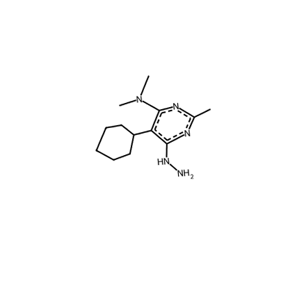 Cc1nc(NN)c(C2CCCCC2)c(N(C)C)n1